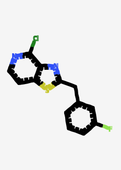 Fc1cccc(Cc2nc3c(Cl)nccc3s2)c1